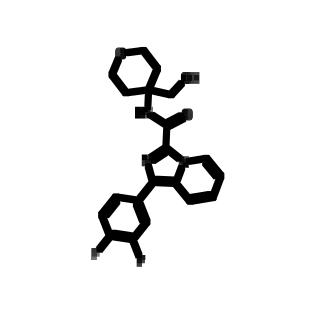 O=C(NC1(CO)CCOCC1)c1nc(-c2ccc(F)c(F)c2)c2ccccn12